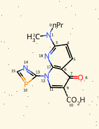 CCCN(C)c1ccc2c(=O)c(C(=O)O)cn(C3=NC=P3)c2n1